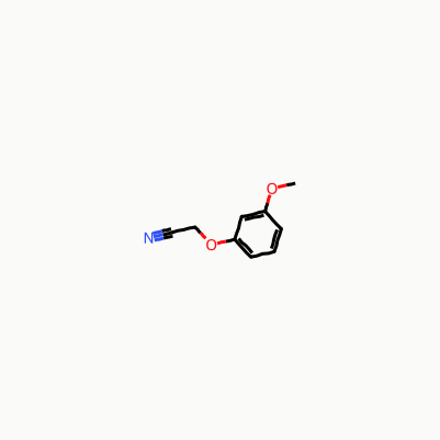 COc1cccc(OCC#N)c1